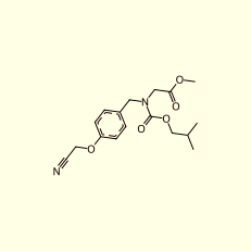 COC(=O)CN(Cc1ccc(OCC#N)cc1)C(=O)OCC(C)C